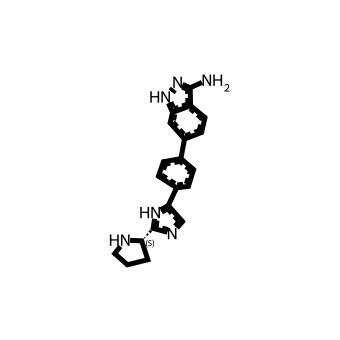 Nc1n[nH]c2cc(-c3ccc(-c4cnc([C@@H]5CCCN5)[nH]4)cc3)ccc12